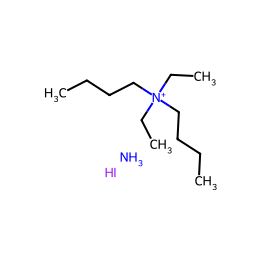 CCCC[N+](CC)(CC)CCCC.I.N